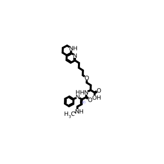 CNC/C=C(\Nc1ccccc1)C(=O)NC(CCOCCCCc1ccc2c(n1)NCCC2)C(=O)O